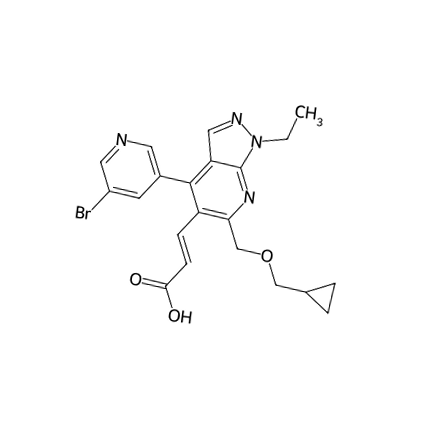 CCn1ncc2c(-c3cncc(Br)c3)c(C=CC(=O)O)c(COCC3CC3)nc21